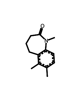 Cc1ccc2c(c1C)CCCC(=O)N2C